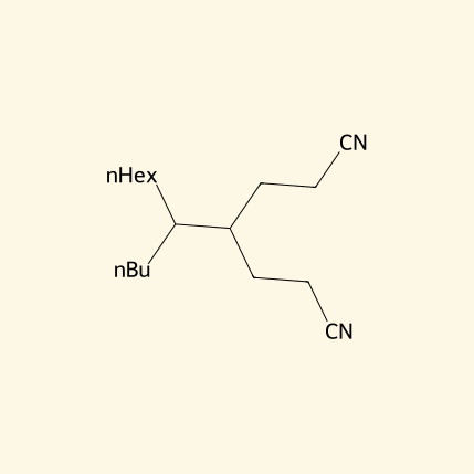 CCCCCCC(CCCC)C(CCC#N)CCC#N